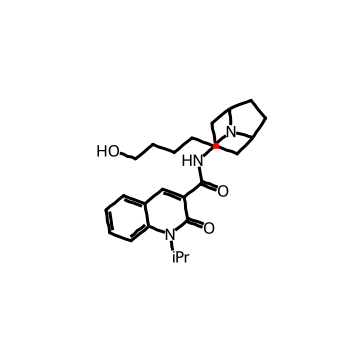 CC(C)n1c(=O)c(C(=O)NC2CC3CCC(C2)N3CCCCCO)cc2ccccc21